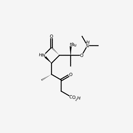 C[C@@H](C(=O)CC(=O)O)[C@H]1NC(=O)[C@@H]1[C@@](C)(O[SiH](C)C)C(C)(C)C